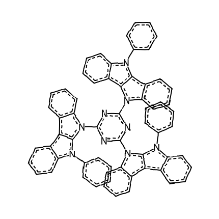 c1ccc(-n2c3ccccc3c3c2c2ccccc2n3-c2nc(-n3c4ccccc4c4c5ccccc5n(-c5ccccc5)c43)nc(-n3c4ccccc4c4c5ccccc5n(-c5ccccc5)c43)n2)cc1